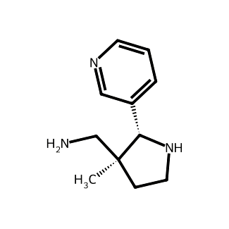 C[C@@]1(CN)CCN[C@H]1c1cccnc1